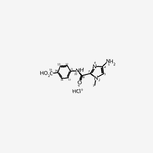 Cl.Cn1cc(N)nc1C(=O)Nc1ccc(C(=O)O)cc1